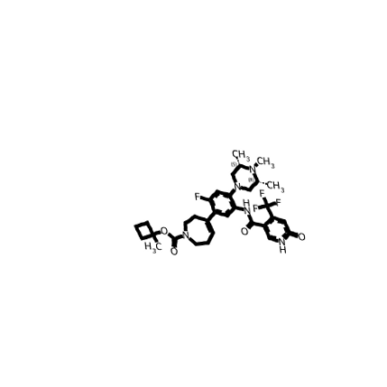 C[C@@H]1CN(c2cc(F)c(C3=CCCN(C(=O)OC4(C)CCC4)CC3)cc2NC(=O)c2c[nH]c(=O)cc2C(F)(F)F)C[C@H](C)N1C